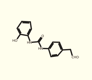 O=[C]Cc1ccc(NC(=O)Nc2ccccc2O)cc1